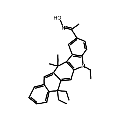 CCn1c2c(c3cc(C(C)=NO)ccc31)C(C)(C)C1=Cc3ccccc3C(CC)(CC)C1=C2